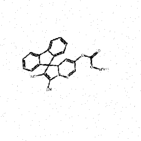 CCCCCOC(=O)OC1=CC2N(N=C1)C(C#N)=C(C#N)C21c2ccccc2-c2ccccc21